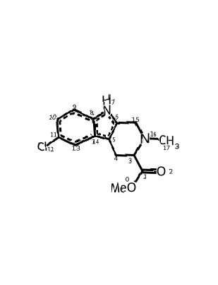 COC(=O)C1Cc2c([nH]c3ccc(Cl)cc23)CN1C